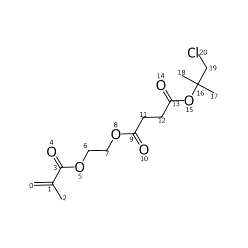 C=C(C)C(=O)OCCOC(=O)CCC(=O)OC(C)(C)CCl